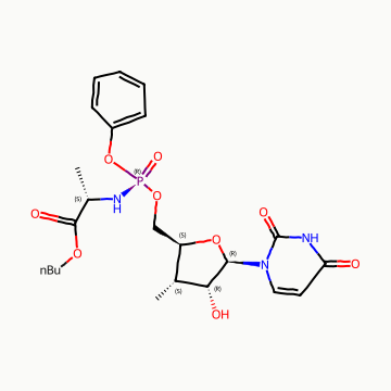 CCCCOC(=O)[C@H](C)N[P@@](=O)(OC[C@H]1O[C@@H](n2ccc(=O)[nH]c2=O)[C@H](O)[C@@H]1C)Oc1ccccc1